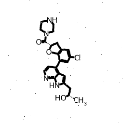 C[C@H](O)Cc1cc2c(-c3cc(Cl)cc4c3O[C@H](C(=O)N3CCNCC3)C4)ccnc2[nH]1